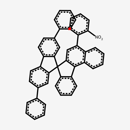 O=[N+]([O-])c1ccccc1-c1cc2c(c3ccccc13)-c1ccccc1C21c2cc(-c3ccccc3)ccc2-c2ccc(-c3ccccc3)cc21